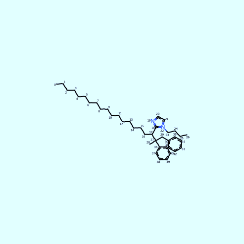 CCCCCCCCCCCCCCCCCC(c1nccn1CCCC)C(C)(Cc1ccccc1)c1ccccc1